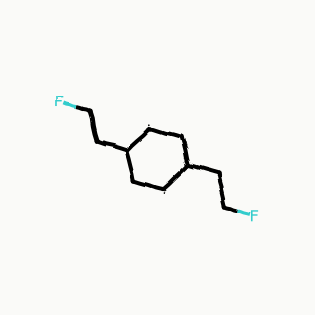 FCCC1[CH]CC(CCF)[CH]C1